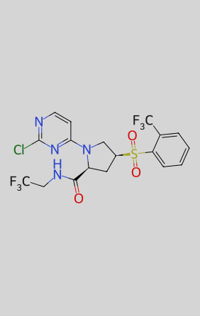 O=C(NCC(F)(F)F)[C@@H]1C[C@H](S(=O)(=O)c2ccccc2C(F)(F)F)CN1c1ccnc(Cl)n1